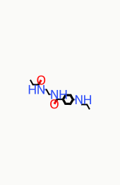 CCCNc1ccc(C(=O)NCCNC(=O)CC)cc1